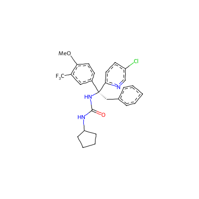 COc1ccc([C@](Cc2ccccc2)(NC(=O)NC2CCCC2)c2ccc(Cl)cn2)cc1C(F)(F)F